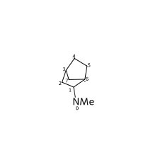 CNC1CC2CC[C]1C2